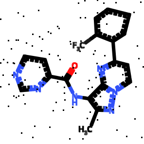 Cc1nn2ccc(-c3ccccc3C(F)(F)F)nc2c1NC(=O)c1ccncn1